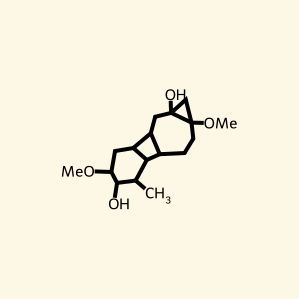 COC1CC2C3CC4(O)CC4(OC)CCC3C2C(C)C1O